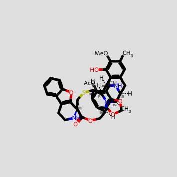 COc1c(C)cc2c(c1O)[C@H]1N[C@@H](C2)[C@H](C)N2[C@H]1[C@@H]1SC[C@]3(NCCc4c3oc3ccccc43)C(=O)OC[C@H]2c2c3c(c(C)c(OC(C)=O)c21)OCO3